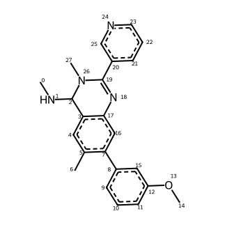 CNC1c2cc(C)c(-c3cccc(OC)c3)cc2N=C(c2cccnc2)N1C